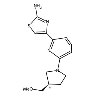 COC[C@@H]1CCN(c2cccc(-c3csc(N)n3)n2)C1